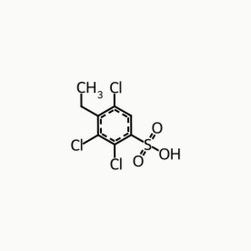 CCc1c(Cl)cc(S(=O)(=O)O)c(Cl)c1Cl